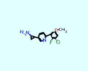 COc1cc(Cl)c(F)c(-c2ccc(C3CC3N)cn2)c1